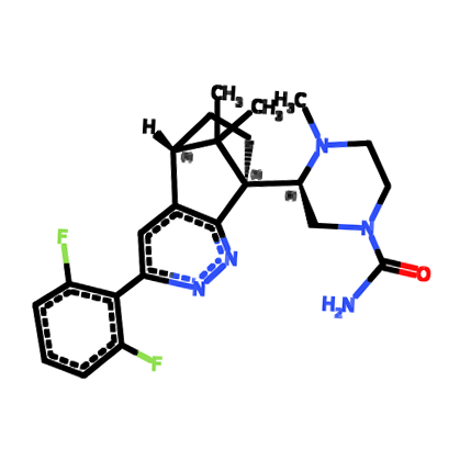 CN1CCN(C(N)=O)C[C@H]1[C@@]12CC[C@@H](c3cc(-c4c(F)cccc4F)nnc31)C2(C)C